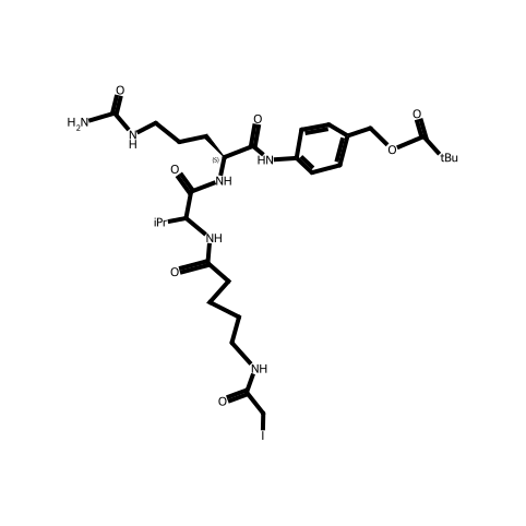 CC(C)C(NC(=O)CCCCNC(=O)CI)C(=O)N[C@@H](CCCNC(N)=O)C(=O)Nc1ccc(COC(=O)C(C)(C)C)cc1